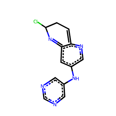 ClC1CC=c2ncc(Nc3cncnc3)cc2=N1